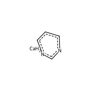 [CaH2].c1cncnc1